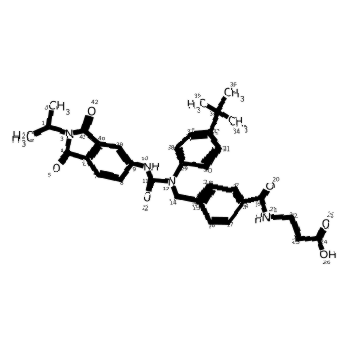 CC(C)N1C(=O)c2ccc(NC(=O)N(Cc3ccc(C(=O)NCCC(=O)O)cc3)c3ccc(C(C)(C)C)cc3)cc2C1=O